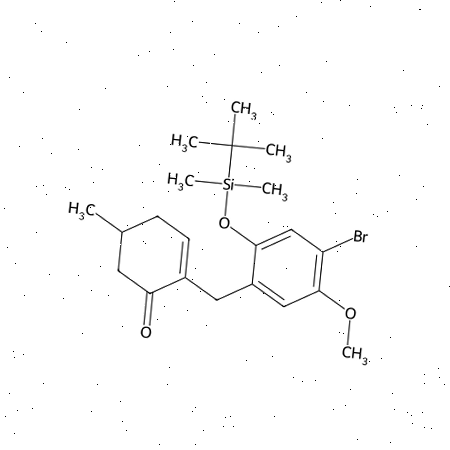 COc1cc(CC2=CCC(C)CC2=O)c(O[Si](C)(C)C(C)(C)C)cc1Br